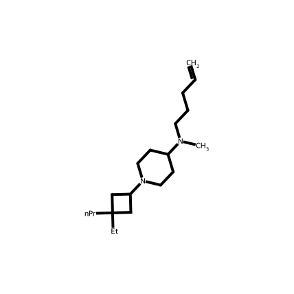 C=CCCCN(C)C1CCN(C2CC(CC)(CCC)C2)CC1